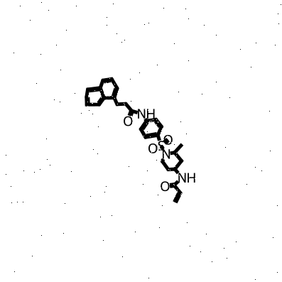 C=CC(=O)NC1CCN(S(=O)(=O)c2ccc(NC(=O)CCc3cccc4ccccc34)cc2)C(C)C1